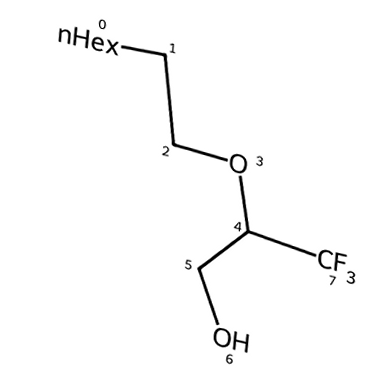 CCCCCCCCOC(CO)C(F)(F)F